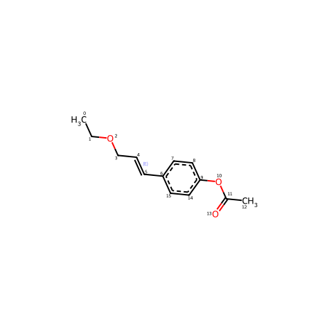 CCOC/C=C/c1ccc(OC(C)=O)cc1